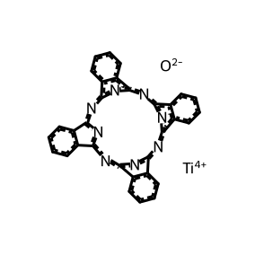 [O-2].[Ti+4].c1ccc2c(c1)-c1nc3nc(nc4[n-]c(nc5[n-]c(nc-2n1)c1ccccc51)c1ccccc41)-c1ccccc1-3